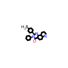 Bc1ccc(-c2nc3c(ccc4ncccc43)c(=O)n2-c2ccccc2)cc1